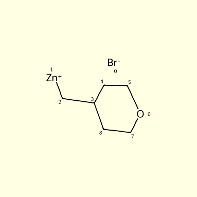 [Br-].[Zn+][CH2]C1CCOCC1